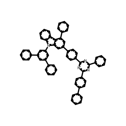 c1ccc(-c2ccc(-c3nc(-c4ccccc4)nc(-c4ccc(-c5cc(-c6ccccc6)c6c7ccccc7n(-c7cc(-c8ccccc8)cc(-c8ccccc8)c7)c6c5)cc4)n3)cc2)cc1